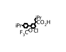 CC(C)CC(C(=O)O)c1cc(Cl)c(OCC(F)(F)F)c(-c2ccc(C(C)C)cc2)c1